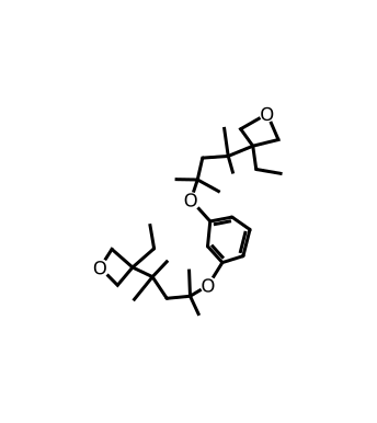 CCC1(C(C)(C)CC(C)(C)Oc2cccc(OC(C)(C)CC(C)(C)C3(CC)COC3)c2)COC1